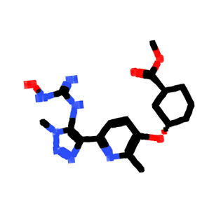 COC(=O)[C@H]1CCC[C@H](Oc2ccc(-c3nnn(C)c3NC(=N)NO)nc2C)C1